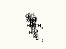 COc1cc(C(=O)NC2CCN(C)CC2)ccc1Nc1ncc(C(F)(F)F)c(N[C@@H]2CCC[C@@H]2NC(C)=O)n1